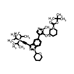 CC(C)[Si](C#Cc1nn(C2CCCCO2)c2ccc(-c3cnn(C)c3O[C@@H]3CCCN(C(=O)OC(C)(C)C)C3)cc12)(C(C)C)C(C)C